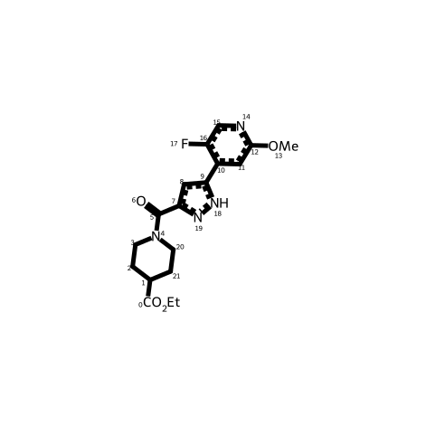 CCOC(=O)C1CCN(C(=O)c2cc(-c3cc(OC)ncc3F)[nH]n2)CC1